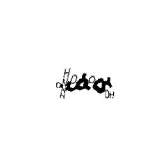 Cc1cc(CC2NC(=O)NC2=O)cc(C)c1Oc1ccc(O)c(C(C)C)c1